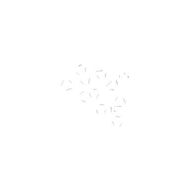 N#Cc1cccc(-c2cccc(N(c3ccccc3)c3cccc(-c4ccc5c6c(cccc46)-c4c-5c(-c5ccccc5)c5ccccc5c4-c4ccccc4)c3)c2)c1